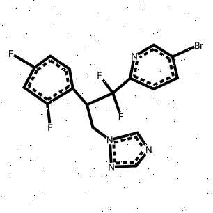 Fc1ccc(C(Cn2cncn2)C(F)(F)c2ccc(Br)cn2)c(F)c1